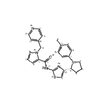 Cc1ccc(N2CCC[C@@H]2c2csc(NC(=O)c3cccn3Cc3ccncc3)n2)cc1